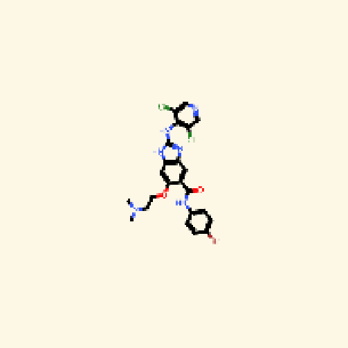 CN(C)CCOc1cc2[nH]c(Nc3c(Cl)cncc3Cl)nc2cc1C(=O)Nc1ccc(Br)cc1